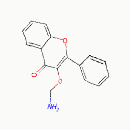 NCOc1c(-c2ccccc2)oc2ccccc2c1=O